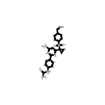 N=Cc1ccc(S(=O)(=O)C2(c3cc(N)nc(-c4ccc(NC(N)=O)cc4)n3)CC2)cc1